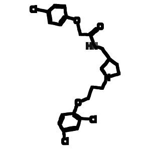 O=C(COc1ccc(Cl)cc1)NCC1CCN(CCCOc2ccc(Cl)cc2Cl)C1